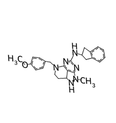 COc1ccc(CN2CCC3NN(C)c4nc(NC5Cc6ccccc6C5)nc2c43)cc1